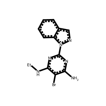 CCNc1nc(-n2ncc3ccccc32)nc(N)c1Br